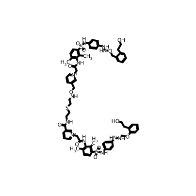 Cc1ccc(S(=O)(=O)Nc2ccc(NNOCc3ccccc3CCO)cc2)c(C)c1NC(=O)C[n+]1cccc(CONCCSCCNC(=O)c2ccc[n+](CC(=O)Nc3c(C)ccc(S(=O)(=O)Nc4ccc(NNCOc5ccccc5CCO)cc4)c3C)c2)c1